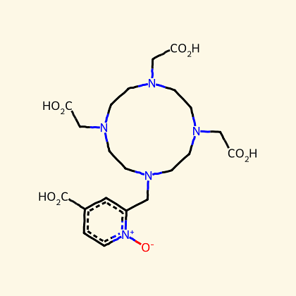 O=C(O)CN1CCN(CC(=O)O)CCN(Cc2cc(C(=O)O)cc[n+]2[O-])CCN(CC(=O)O)CC1